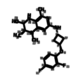 Cc1nc(N[C@H]2C[C@H](Oc3ccc(F)cc3F)C2)nc2c1NC(O)[C@H](C)N2C